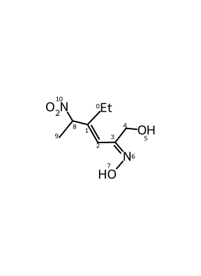 CC/C(=C\C(CO)=N/O)C(C)[N+](=O)[O-]